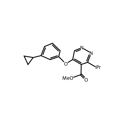 COC(=O)c1c(Oc2cccc(C3CC3)c2)cnnc1C(C)C